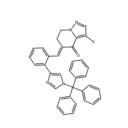 O=C1C(=Cc2ccccc2-c2cn(C(c3ccccc3)(c3ccccc3)c3ccccc3)cn2)CCn2ncc(F)c21